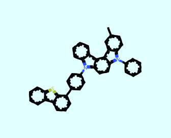 Cc1ccc2c(c1)c1c3c4ccccc4n(-c4ccc(-c5cccc6c5sc5ccccc56)cc4)c3ccc1n2-c1ccccc1